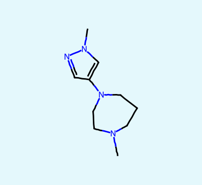 CN1CCCN(c2cnn(C)c2)CC1